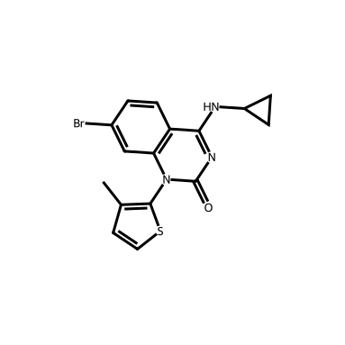 Cc1ccsc1-n1c(=O)nc(NC2CC2)c2ccc(Br)cc21